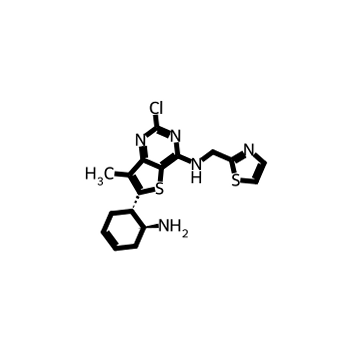 Cc1c([C@H]2CC=CC[C@@H]2N)sc2c(NCc3nccs3)nc(Cl)nc12